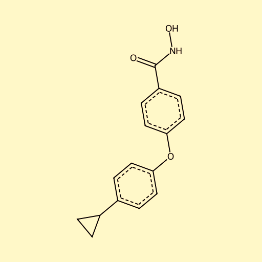 O=C(NO)c1ccc(Oc2ccc(C3CC3)cc2)cc1